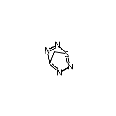 C1C2=NN=S1N=N2